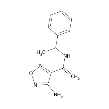 C=C(NC(C)c1ccccc1)c1nonc1N